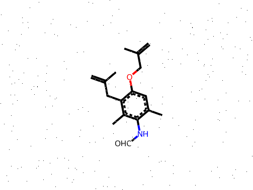 C=C(C)COc1cc(C)c(NC=O)c(C)c1CC(=C)C